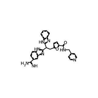 N=C(N)c1ccc2[nH]c(C(Cc3ccc(C(=O)NCc4ccncc4)o3)c3nc4ccccc4[nH]3)nc2c1